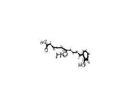 O=C(O)CCC[C@H](O)CCCCc1ccccc1O